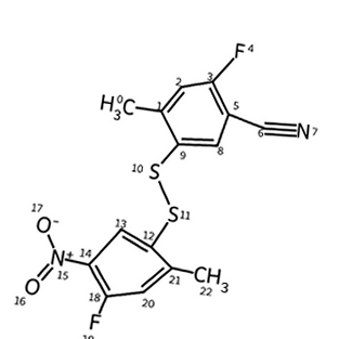 Cc1cc(F)c(C#N)cc1SSc1cc([N+](=O)[O-])c(F)cc1C